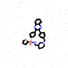 O=S(=O)(NCC1CCCN(Cc2ccc(-c3nc4ccccc4nc3-c3ccccc3)cc2)C1)c1cccs1